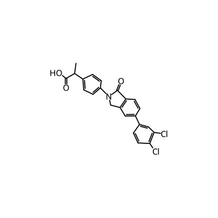 CC(C(=O)O)c1ccc(N2Cc3cc(-c4ccc(Cl)c(Cl)c4)ccc3C2=O)cc1